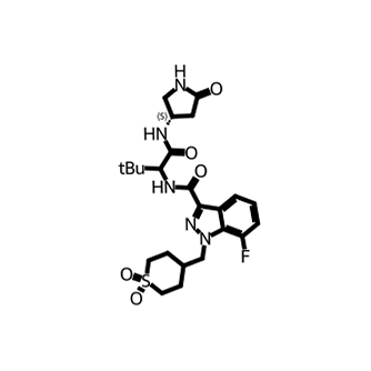 CC(C)(C)C(NC(=O)c1nn(CC2CCS(=O)(=O)CC2)c2c(F)cccc12)C(=O)N[C@@H]1CNC(=O)C1